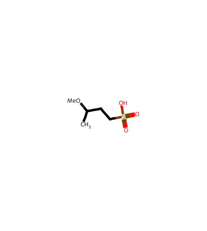 COC(C)CCS(=O)(=O)O